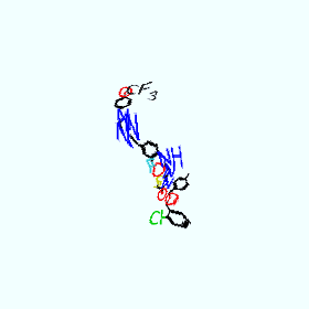 Cc1ccc(COCc2ccccc2Cl)c(N2C(=O)CS/C2=N\C(=O)Nc2ccc(-c3ncn(-c4ccc(OC(F)(F)F)cc4)n3)cc2F)c1